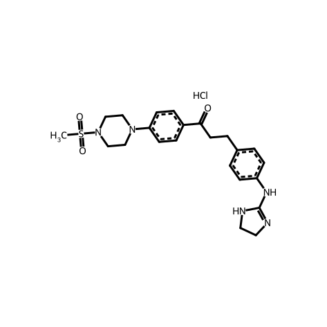 CS(=O)(=O)N1CCN(c2ccc(C(=O)CCc3ccc(NC4=NCCN4)cc3)cc2)CC1.Cl